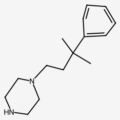 CC(C)(CCN1CCNCC1)c1ccccc1